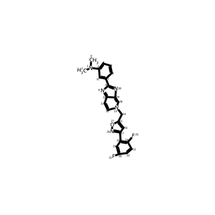 CN(C)c1cccc(-c2nc3ccn(Cc4cc(-c5cc(F)ccc5F)no4)cc-3n2)c1